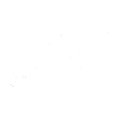 COCCOc1cc2ncnc(Sc3cccc(NC(N)=O)c3)c2cc1OC